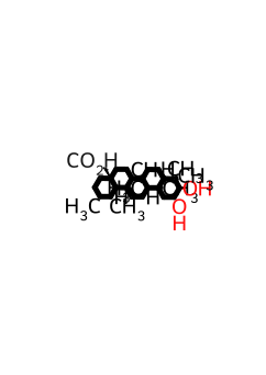 C[C@H]1[C@H](C)CC[C@]2(CC(=O)O)CC[C@]3(C)C(=CC[C@@H]4[C@@]5(C)C[C@@H](O)[C@H](O)C(C)(C)[C@@H]5CC[C@]43C)[C@H]12